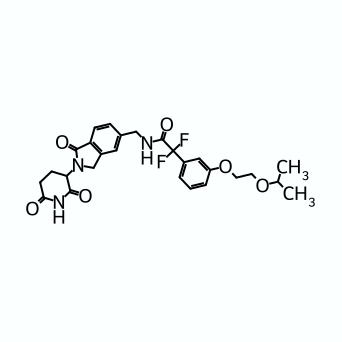 CC(C)OCCOc1cccc(C(F)(F)C(=O)NCc2ccc3c(c2)CN(C2CCC(=O)NC2=O)C3=O)c1